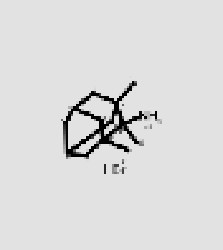 Br.CC12CC3CC(C1)CC(C)(C3)C2(C)N